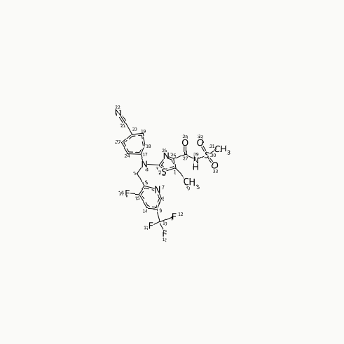 Cc1sc(N(Cc2ncc(C(F)(F)F)cc2F)c2ccc(C#N)cc2)nc1C(=O)NS(C)(=O)=O